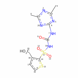 Cc1nc(C)nc(NC(=O)NS(=O)(=O)c2sccc2C(=O)O)n1